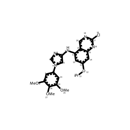 COc1cc(-n2cnc(Nc3cc(OC(C)C)cc4nc(Cl)ncc34)c2)cc(OC)c1OC